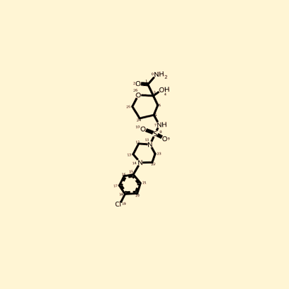 NC(=O)C1(O)CC(NS(=O)(=O)N2CCN(c3ccc(Cl)cc3)CC2)CCO1